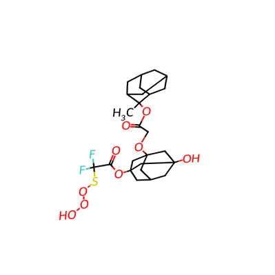 CC1(OC(=O)COC23CC4CC(O)(C2)CC(OC(=O)C(F)(F)SOOO)(C4)C3)C2CC3CC(C2)CC1C3